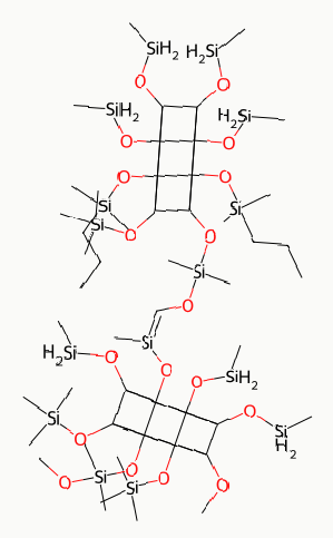 CCC[Si](C)(C)OC12C3(O[SiH2]C)C4(O[SiH2]C)C5(O[SiH2]C)C3(O[SiH2]C)C1(O[Si](C)(C)CCC)C5(O[Si](C)(C)O/C=[Si](/C)OC13C5(O[SiH2]C)C6(O[SiH2]C)C7(OC)C5(O[Si](C)(C)C)C1(O[Si](C)(C)OC)C7(O[Si](C)(C)C)C63O[SiH2]C)C42O[Si](C)(C)C